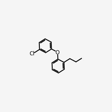 CCCc1ccccc1Oc1cccc(Cl)c1